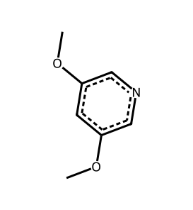 COc1cncc(OC)c1